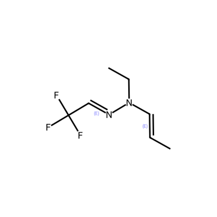 C/C=C/N(CC)/N=C/C(F)(F)F